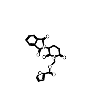 O=C(OCN1C(=O)CCC(N2C(=O)c3ccccc3C2=O)C1=O)c1ccco1